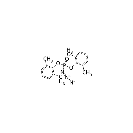 Cc1cccc(C)c1OP(=O)(N=[N+]=[N-])Oc1c(C)cccc1C